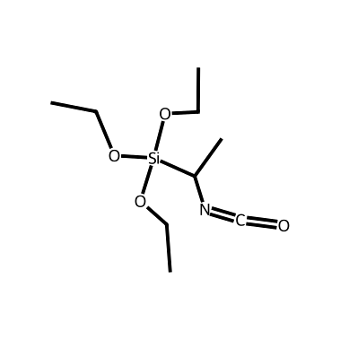 CCO[Si](OCC)(OCC)C(C)N=C=O